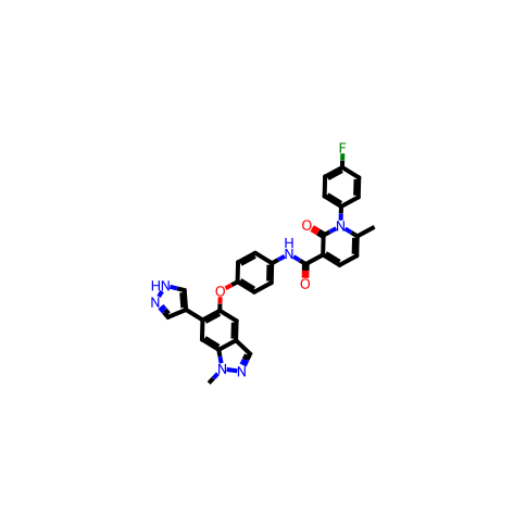 Cc1ccc(C(=O)Nc2ccc(Oc3cc4cnn(C)c4cc3-c3cn[nH]c3)cc2)c(=O)n1-c1ccc(F)cc1